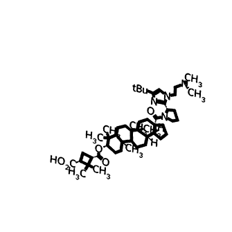 CN(C)CCn1cc(C(C)(C)C)nc1[C@@H]1CCCN1C(=O)[C@]12CCC[C@@H]1[C@H]1CCC3[C@@]4(C)CC[C@H](OC(=O)[C@H]5C[C@@H](C(=O)O)C5(C)C)C(C)(C)C4CC[C@@]3(C)[C@]1(C)CC2